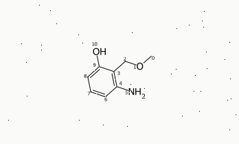 COCc1c(N)cccc1O